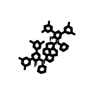 Cc1cc(C)cc(-c2cc(-c3cc(C)cc(C)c3)c(F)c(N(c3ccccc3)c3ccc4ccc5c(N(c6ccccc6)c6cc(-c7cc(C)cc(C)c7)cc(-c7cc(C)cc(C)c7)c6F)ccc6ccc3c4c65)c2)c1